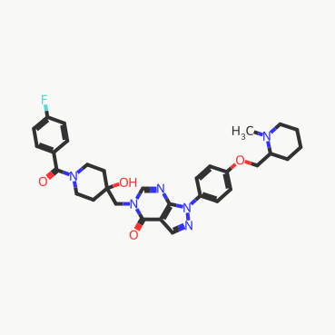 CN1CCCCC1COc1ccc(-n2ncc3c(=O)n(CC4(O)CCN(C(=O)c5ccc(F)cc5)CC4)cnc32)cc1